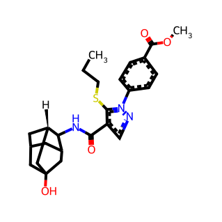 CCCSc1c(C(=O)NC2C3CC4C[C@H]2CC(O)(C4)C3)cnn1-c1ccc(C(=O)OC)cc1